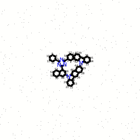 c1ccc(-c2nc(-c3ccccc3)nc(-c3cc(-n4c5ccccc5c5cc6ccc(-n7c8ccccc8c8ccccc87)cc6cc54)cc4ccccc34)n2)cc1